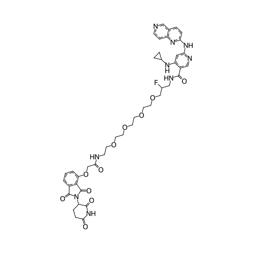 O=C(COc1cccc2c1C(=O)N(C1CCC(=O)NC1=O)C2=O)NCCOCCOCCOCCOCC(F)CNC(=O)c1cnc(Nc2ccc3cnccc3n2)cc1NC1CC1